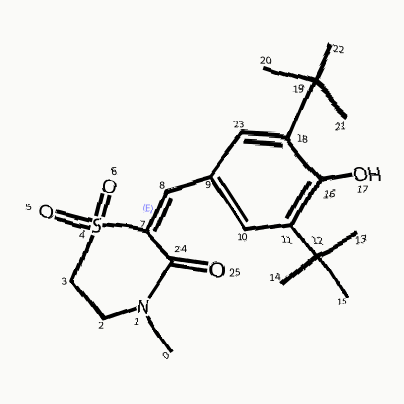 CN1CCS(=O)(=O)/C(=C/c2cc(C(C)(C)C)c(O)c(C(C)(C)C)c2)C1=O